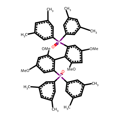 COc1cc(OC)c(-c2c(OC)cc(OC)cc2P(=O)(c2cc(C)cc(C)c2)c2cc(C)cc(C)c2)c(P(=O)(c2cc(C)cc(C)c2)c2cc(C)cc(C)c2)c1